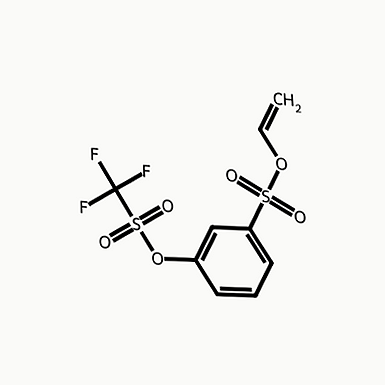 C=COS(=O)(=O)c1cccc(OS(=O)(=O)C(F)(F)F)c1